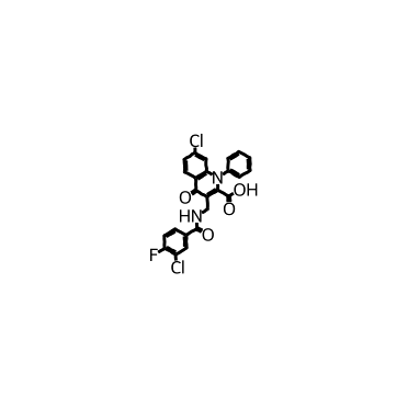 O=C(NCc1c(C(=O)O)n(-c2ccccc2)c2cc(Cl)ccc2c1=O)c1ccc(F)c(Cl)c1